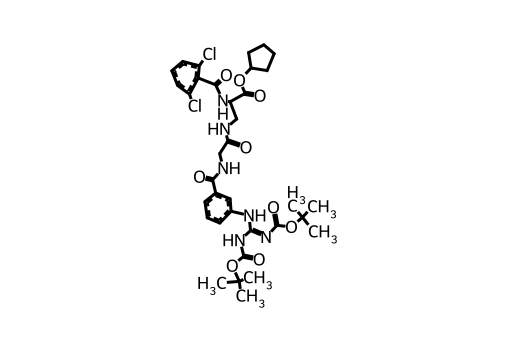 CC(C)(C)OC(=O)/N=C(/NC(=O)OC(C)(C)C)Nc1cccc(C(=O)NCC(=O)NCC(NC(=O)c2c(Cl)cccc2Cl)C(=O)OC2CCCC2)c1